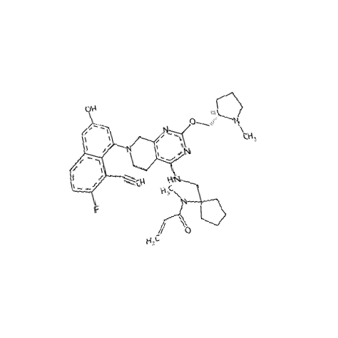 C#Cc1c(F)ccc2cc(O)cc(N3CCc4c(nc(OC[C@@H]5CCCN5C)nc4NCC4(N(C)C(=O)C=C)CCCC4)C3)c12